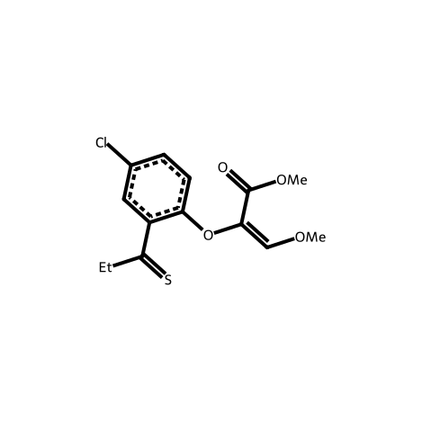 CCC(=S)c1cc(Cl)ccc1O/C(=C/OC)C(=O)OC